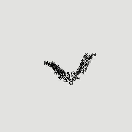 O=[Si](O)O.O=[Si](O)O.O=[Si](O)O.O=[Si](O)O.[NaH].[NaH].[NaH].[NaH].[NaH].[NaH].[NaH].[NaH].[NaH].[NaH].[NaH].[NaH].[NaH].[NaH].[NaH].[NaH].[NaH].[NaH].[NaH].[NaH].[NaH]